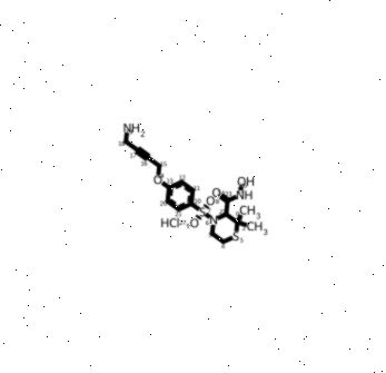 CC1(C)SCCN(S(=O)(=O)c2ccc(OCC#CCN)cc2)C1C(=O)NO.Cl